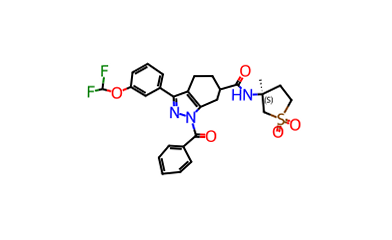 C[C@]1(NC(=O)C2CCc3c(-c4cccc(OC(F)F)c4)nn(C(=O)c4ccccc4)c3C2)CCS(=O)(=O)C1